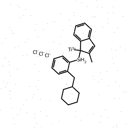 CC1=Cc2ccccc2[C]1([Ti+3])[SiH2]c1ccccc1CC1CCCCC1.[Cl-].[Cl-].[Cl-]